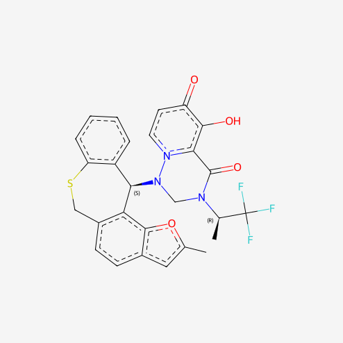 Cc1cc2ccc3c(c2o1)[C@H](N1CN([C@H](C)C(F)(F)F)C(=O)c2c(O)c(=O)ccn21)c1ccccc1SC3